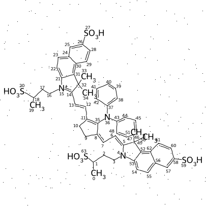 CC(CCN1/C(=C\C=C2\CCC(/C=C/C3=[N+](CCC(C)S(=O)(=O)O)c4ccc5cc(S(=O)(=O)O)ccc5c4C3(C)C)=C2N(c2ccccc2)c2ccccc2)C(C)(C)c2c1ccc1cc(S(=O)(=O)O)ccc21)S(=O)(=O)O